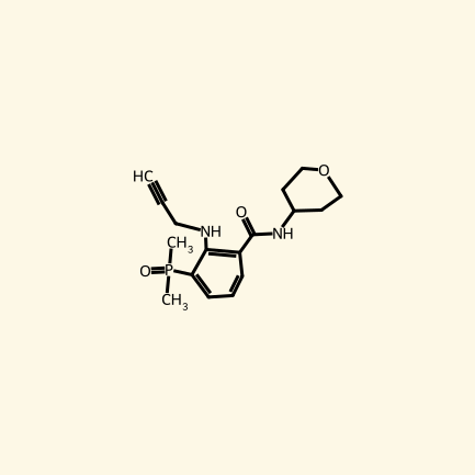 C#CCNc1c(C(=O)NC2CCOCC2)cccc1P(C)(C)=O